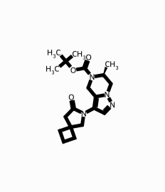 C[C@H]1Cn2ncc(N3CC4(CCC4)CC3=O)c2CN1C(=O)OC(C)(C)C